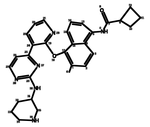 Cc1ccc2c(NC(=O)C3CCC3)cccc2c1Oc1ncccc1-c1ccnc(NC2CCCNC2)n1